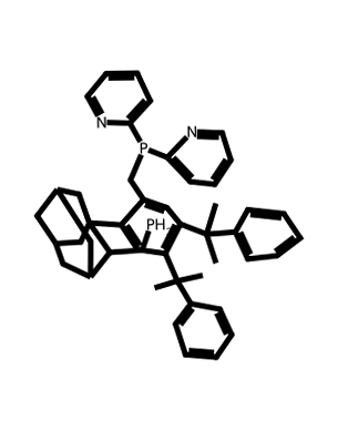 CC(C)(c1ccccc1)c1cc(CP(c2ccccn2)c2ccccn2)c(C23CC4CC(CC(C4)C2CP)C3)cc1C(C)(C)c1ccccc1